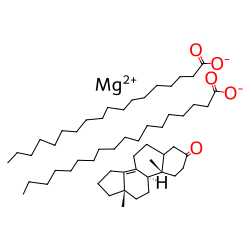 CCCCCCCCCCCCCCCCCC(=O)[O-].CCCCCCCCCCCCCCCCCC(=O)[O-].C[C@@]12CCCC1=C1CCC3CC(=O)CC[C@]3(C)[C@H]1CC2.[Mg+2]